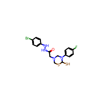 O=C(CN1CSC(S)N(c2ccc(F)cc2)C1)NNc1ccc(Br)cc1